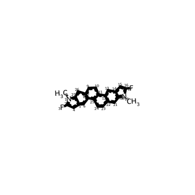 Cn1c(F)cc2cc3c(ccc4c5cc6cc(F)n(C)c6cc5ccc34)cc21